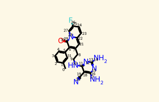 Cc1cccc(-c2c(CCNc3nc(N)nc(N)c3C#N)cc3ccc(F)cn3c2=O)c1